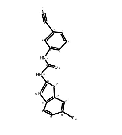 N#Cc1cccc(NC(=O)Nc2nc3ccc(F)cc3s2)c1